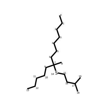 CCCCCCCC(C)(CCCCC)SCCC(C)C